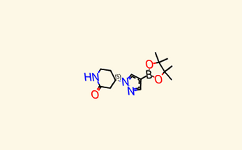 CC1(C)OB(c2cnn([C@H]3CCNC(=O)C3)c2)OC1(C)C